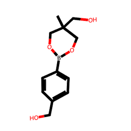 CC1(CO)COB(c2ccc(CO)cc2)OC1